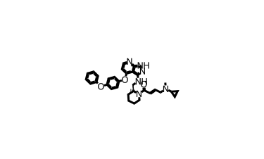 CN(CC=CC(=O)N1CCCC[C@H]1CNc1n[nH]c2nccc(Oc3ccc(Oc4ccccc4)cc3)c12)C1CC1